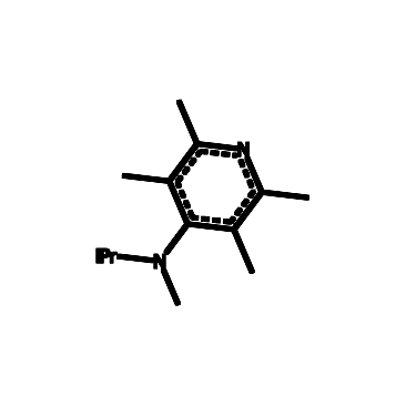 Cc1nc(C)c(C)c(N(C)C(C)C)c1C